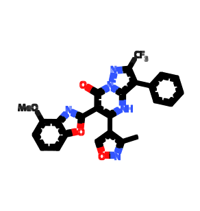 COc1cccc2oc(-c3c(-c4conc4C)[nH]c4c(-c5ccccc5)c(C(F)(F)F)nn4c3=O)nc12